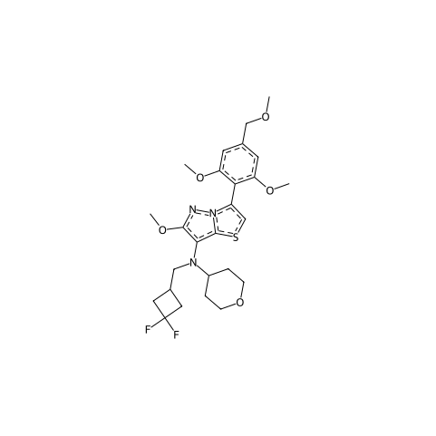 COCc1cc(OC)c(-c2csc3c(N(CC4CC(F)(F)C4)C4CCOCC4)c(OC)nn23)c(OC)c1